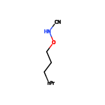 CCCCCCONC#N